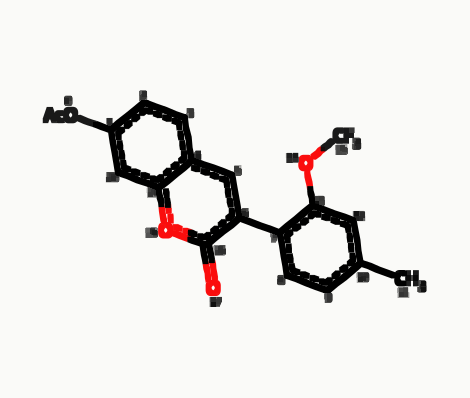 CC(=O)Oc1ccc2cc(-c3ccc(C)cc3OC(F)(F)F)c(=O)oc2c1